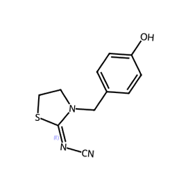 N#C/N=C1/SCCN1Cc1ccc(O)cc1